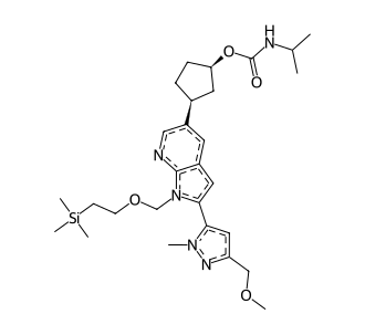 COCc1cc(-c2cc3cc([C@H]4CC[C@@H](OC(=O)NC(C)C)C4)cnc3n2COCC[Si](C)(C)C)n(C)n1